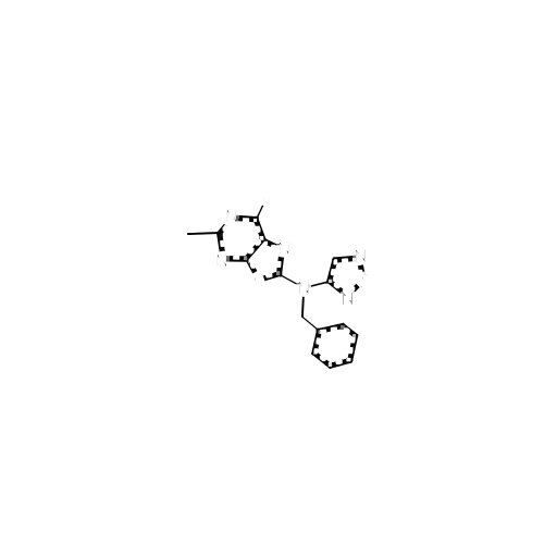 Cc1nc(Cl)c2nc(N(Cc3ccccc3)c3cnsn3)sc2n1